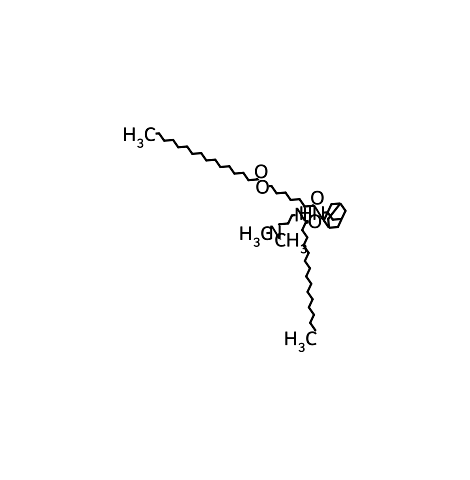 CCCCCCCCCCCCCCCC(=O)OCCCCCC(C(=O)NC12CC3CC(CC(C3)C1)C2)N(CCCN(C)C)C(=O)CCCCCCCCCCCCCCC